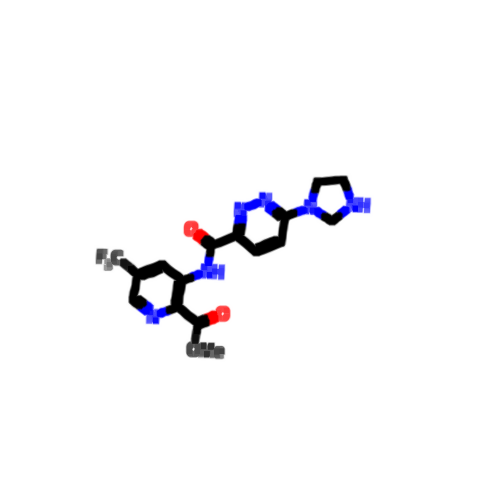 COC(=O)c1ncc(C(F)(F)F)cc1NC(=O)c1ccc(N2CCNC2)nn1